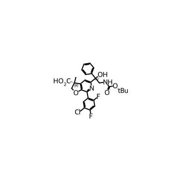 CC(C)(C)OC(=O)NC[C@@](O)(c1ccccc1)c1cc2c(c(-c3cc(Cl)c(F)cc3F)n1)OC[C@]2(C)C(=O)O